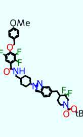 COc1ccc(COc2c(F)cc(C(=O)NCC3CCC(n4cc5ccc(CC6CCN(C(=O)OC(C)(C)C)CC6(F)F)cc5n4)CC3)c(F)c2F)cc1